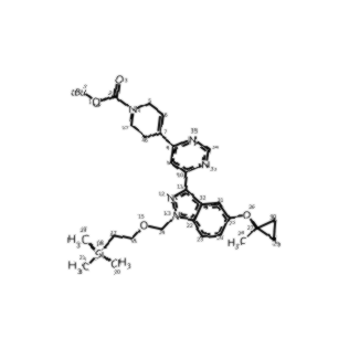 CC(C)(C)OC(=O)N1CC=C(c2cc(-c3nn(COCC[Si](C)(C)C)c4ccc(OC5(C)CC5)cc34)ncn2)CC1